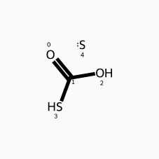 O=C(O)S.[S]